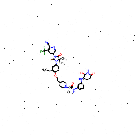 CCc1cc(N2C(=S)N(c3cnc(C#N)c(C(F)(F)F)c3)C(=O)C2(C)C)ccc1OCCC1CCN([C@@H](C)C(=O)Nc2cccc(N[C@@H]3CCC(=O)NC3O)c2)CC1